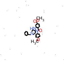 COC(=O)c1ccc2c(c1)NC1(CCN(Cc3ccccc3)CC1)N(c1ccc(OC)cc1)C2=O